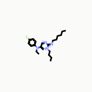 C=C(/C=N\C(=N/CCCCCC)NCCCC)N(CC)c1ccc(F)cc1